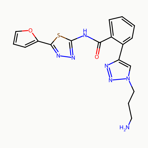 NCCCn1cc(-c2ccccc2C(=O)Nc2nnc(-c3ccco3)s2)nn1